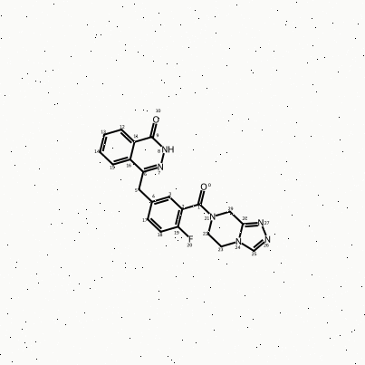 O=C(c1cc(Cc2n[nH]c(=O)c3ccccc23)ccc1F)N1CCn2cnnc2C1